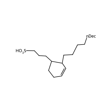 CCCCCCCCCCCCCCC1C=CCCC1CCCS(=O)(=O)O